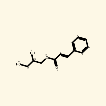 O=C(C=Cc1ccccc1)OCC(O)CO